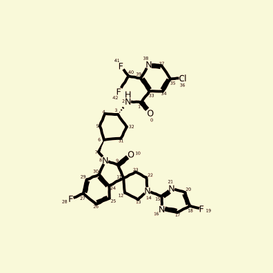 O=C(N[C@H]1CC[C@H](CN2C(=O)C3(CCN(c4ncc(F)cn4)CC3)c3ccc(F)cc32)CC1)c1cc(Cl)cnc1C(F)F